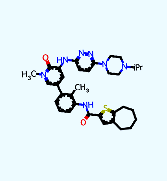 Cc1c(NC(=O)c2cc3c(s2)CCCCC3)cccc1-c1cc(Nc2ccc(N3CCN(C(C)C)CC3)nn2)c(=O)n(C)c1